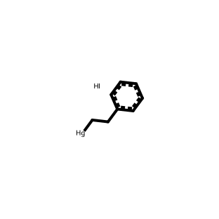 I.[Hg][CH2]Cc1ccccc1